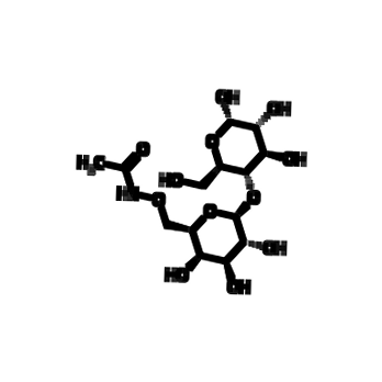 CC(=O)NOC[C@H]1O[C@@H](O[C@H]2[C@H](O)[C@@H](O)[C@@H](O)O[C@@H]2CO)[C@H](O)[C@@H](O)[C@H]1O